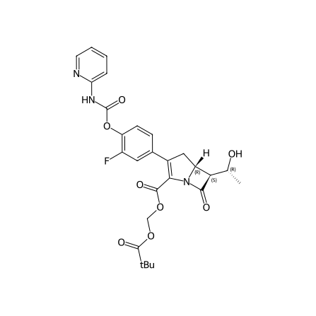 C[C@@H](O)[C@H]1C(=O)N2C(C(=O)OCOC(=O)C(C)(C)C)=C(c3ccc(OC(=O)Nc4ccccn4)c(F)c3)C[C@H]12